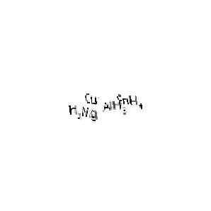 [AlH3].[Cu].[MgH2].[SnH4]